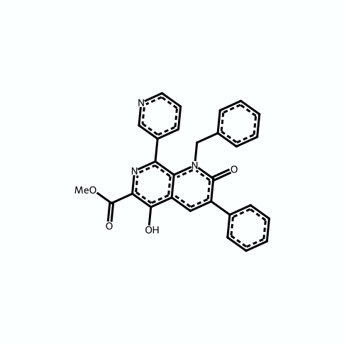 COC(=O)c1nc(-c2cccnc2)c2c(cc(-c3ccccc3)c(=O)n2Cc2ccccc2)c1O